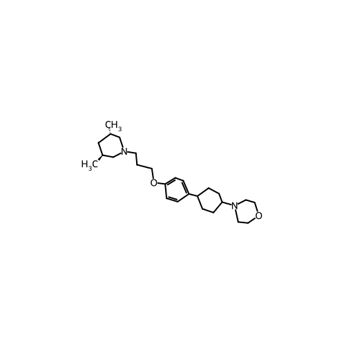 C[C@H]1C[C@H](C)CN(CCCOc2ccc(C3CCC(N4CCOCC4)CC3)cc2)C1